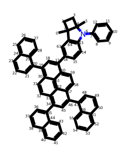 CC12CCC1(C)N(c1ccccc1)c1ccc(-c3cc(-c4cccc5ccccc45)c4ccc5c(-c6cccc7ccccc67)cc(-c6cccc7ccccc67)c6ccc3c4c65)cc12